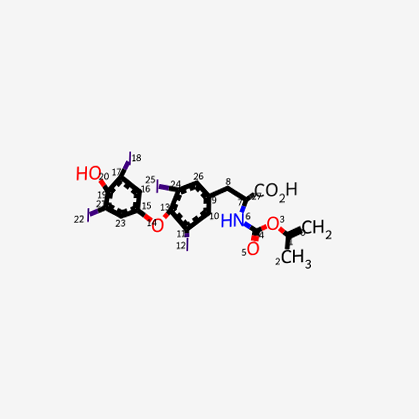 C=C(C)OC(=O)NC(Cc1cc(I)c(Oc2cc(I)c(O)c(I)c2)c(I)c1)C(=O)O